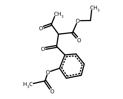 CCOC(=O)C(C(C)=O)C(=O)c1ccccc1OC(C)=O